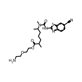 CC(CCCC(C)N(C)C(=O)Nc1nc2ccc(C#N)cc2s1)C(=O)OCCOCCN